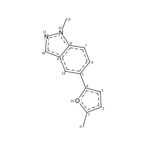 Cc1ccc(-c2ccc3c(cnn3C)c2)o1